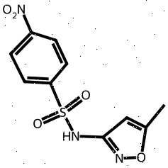 Cc1cc(NS(=O)(=O)c2ccc([N+](=O)[O-])cc2)no1